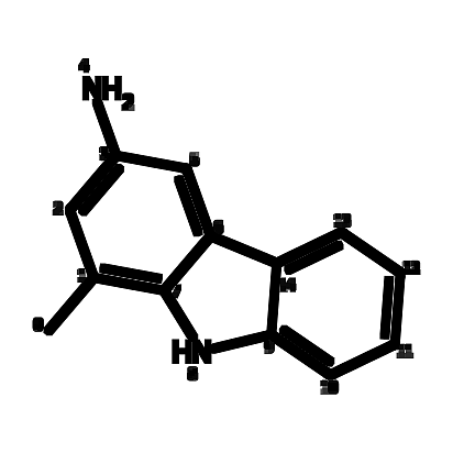 Cc1cc(N)cc2c1[nH]c1ccccc12